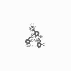 COc1ccc(CNSc2cc(NC(=O)Cc3ccccc3Cl)ccc2-c2noc(C(F)(F)F)n2)c(OC)c1